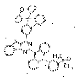 CP(C)(=O)c1cccc(-c2c3ccccc3c(-c3nc(-c4ccc5c(c4)-c4ccccc4C54c5ccccc5Oc5ccccc54)c4sc5ccccc5c4n3)c3ccccc23)c1